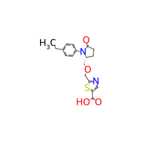 CCc1ccc(N2C(=O)CC[C@@H]2COCc2ncc(C(=O)O)s2)cc1